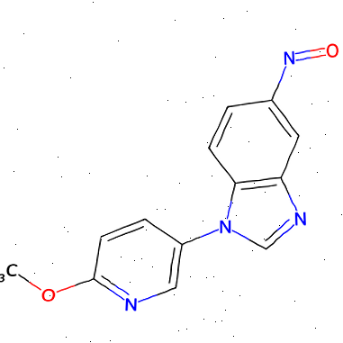 COc1ccc(-n2cnc3cc(N=O)ccc32)cn1